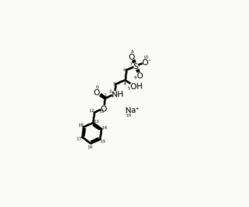 O=C(NCC(O)CS(=O)(=O)[O-])OCc1ccccc1.[Na+]